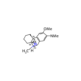 CNc1cc2c(cc1OC)[C@@]13CCCC[C@H]1[C@H](C2)N(C)CC3